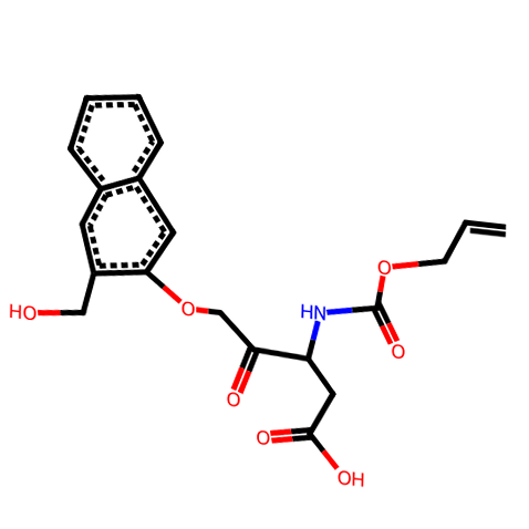 C=CCOC(=O)NC(CC(=O)O)C(=O)COc1cc2ccccc2cc1CO